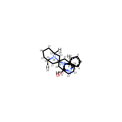 Brc1nc2ccccc2n1[C@@H]1C[C@H]2CCC[C@@H](C1)N2[C@@H]1C[C@@H]2CCC[C@@H](C2)C1